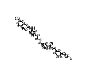 O=C(Cc1cc(Cl)ccc1F)Nc1cn(CCCCn2cc(C(=O)NCc3cccc(OC(F)(F)F)c3)nn2)nn1